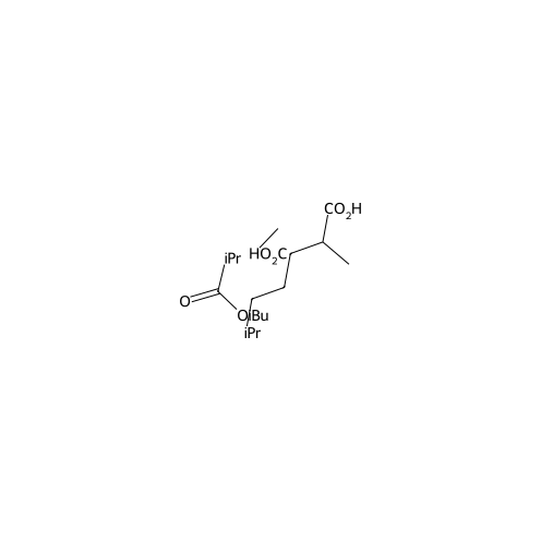 CC(=O)O.CC(C)CCCC(C)C(=O)O.CC(C)COC(=O)C(C)C